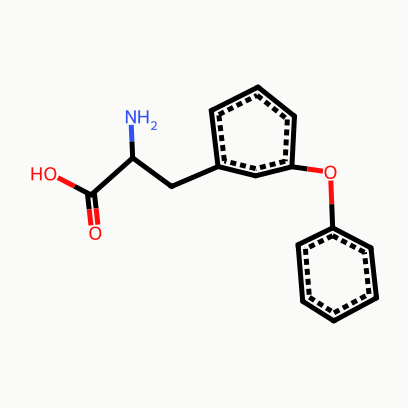 NC(Cc1cccc(Oc2ccccc2)c1)C(=O)O